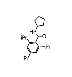 CC(C)c1cc(C(C)C)c(C(=O)PC2CCCC2)c(C(C)C)c1